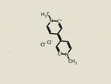 CN1[C+]=CC(=C2C=[C+]N(C)C=C2)C=C1.[Cl-].[Cl-]